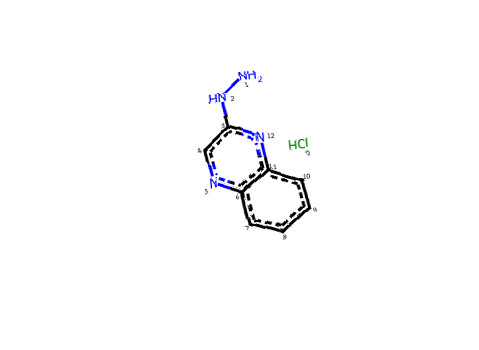 Cl.NNc1cnc2ccccc2n1